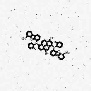 Cc1ccccc1N(c1ccc2c(C(C)C)cc3c(N(c4ccccc4C)c4cccc5c4oc4c(C(C)(C)C)cccc45)cc(C(C)C)c4ccc1c2c43)c1cccc2c1oc1c(C(C)(C)C)cccc12